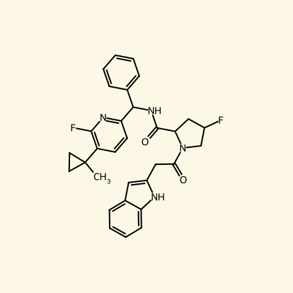 CC1(c2ccc(C(NC(=O)C3CC(F)CN3C(=O)Cc3cc4ccccc4[nH]3)c3ccccc3)nc2F)CC1